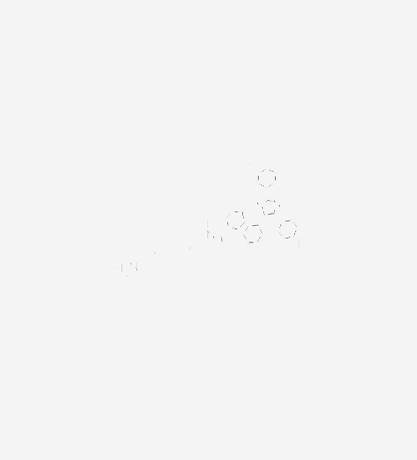 NCCOCCOCCNC(=O)c1ccc(Cn2c(-c3ccc4c(c3)OCO4)nc(-c3ccc(F)cc3)c2-c2ccc(F)cc2)cc1